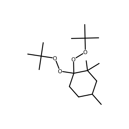 CC1CCC(OOC(C)(C)C)(OOC(C)(C)C)C(C)(C)C1